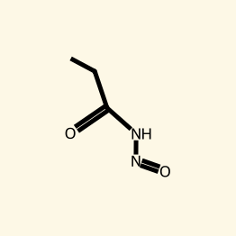 CCC(=O)NN=O